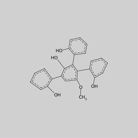 COc1cc(-c2ccccc2O)c(O)c(-c2ccccc2O)c1-c1ccccc1O